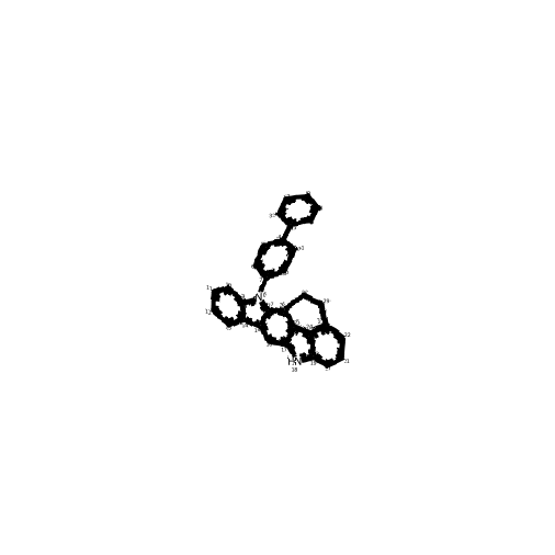 c1ccc(-c2ccc(-n3c4ccccc4c4cc5[nH]c6cccc7c6c5c(c43)CC7)cc2)cc1